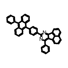 c1ccc(-c2nc(-c3ccc(-c4c5ccccc5c(-c5ccccc5)c5ccccc45)cc3)nc3c2-c2cccc4cccc-3c24)cc1